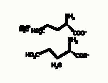 N[C@@H](CCC(=O)O)C(=O)[O-].N[C@@H](CCC(=O)O)C(=O)[O-].O.O.[Zn+2]